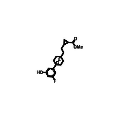 COC(=O)C1CC1CCC12CCC(c3cc(O)cc(F)c3)(CC1)OC2